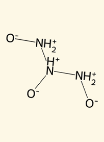 [O-][NH2+][NH+]([O-])[NH2+][O-]